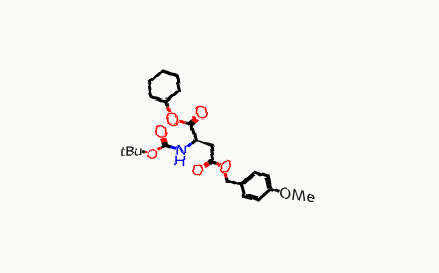 COc1ccc(COC(=O)C[C@@H](NC(=O)OC(C)(C)C)C(=O)OC2CCCCC2)cc1